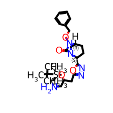 CC(C)(C)[Si](C)(C)OC(CN)Cc1nnc([C@@H]2CC[C@@H]3CN2C(=O)N3OCc2ccccc2)o1